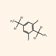 CCC(C)(CC)c1cc(F)c(C(C)(CC)CC)c(F)c1